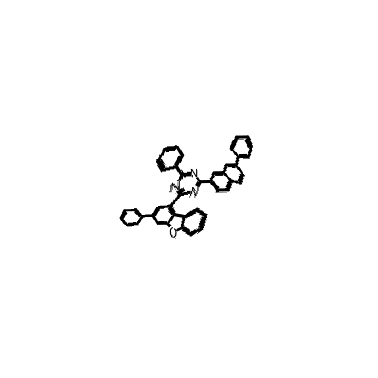 c1ccc(-c2ccc3ccc(-c4nc(-c5ccccc5)nc(-c5cc(-c6ccccc6)cc6oc7ccccc7c56)n4)cc3c2)cc1